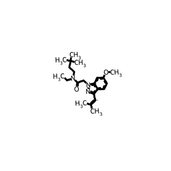 CCN(CCC(C)(C)C)C(=O)Cn1nc([C]=C(C)C)c2ccc(OC)cc21